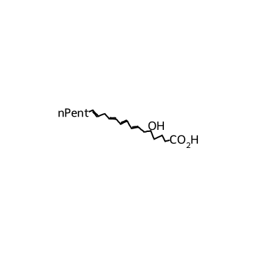 CCCCC/C=C/C/C=C/C=C/C=C/C[C@@H](O)CCCC(=O)O